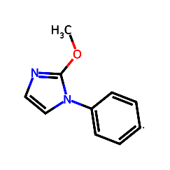 COc1nccn1-c1cc[c]cc1